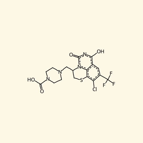 O=C(O)N1CCN(CC2CSc3c(Cl)c(C(F)(F)F)cc4c(O)nc(=O)n2c34)CC1